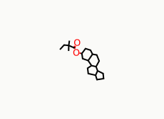 CCC(C)(C)C(=O)OC1CCC2CCC3C4CCCC4CCC3C2C1